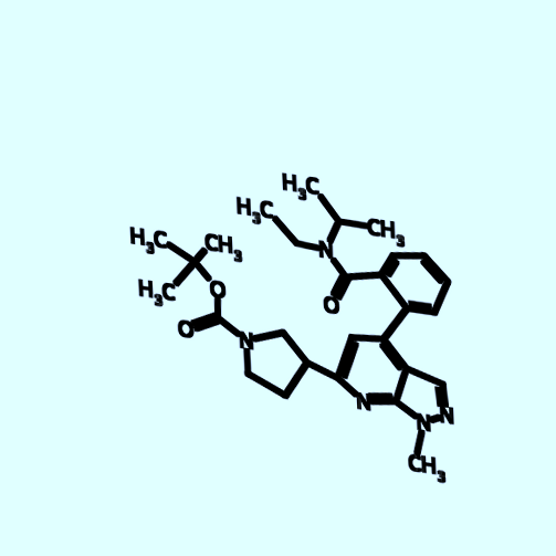 CCN(C(=O)c1ccccc1-c1cc(C2CCN(C(=O)OC(C)(C)C)C2)nc2c1cnn2C)C(C)C